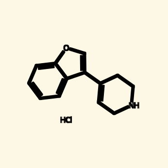 C1=C(c2coc3ccccc23)CCNC1.Cl